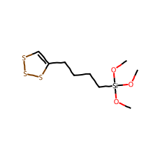 CO[Si](CCCCC1=CSSS1)(OC)OC